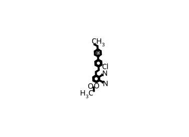 CCCC12CCC(c3ccc(CCc4ccc(OC(=O)CC)c(C#N)c4C#N)c(Cl)c3)(CC1)CC2